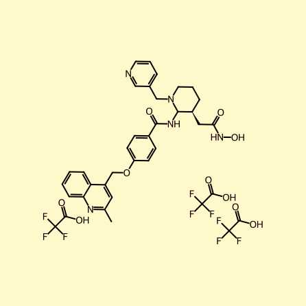 Cc1cc(COc2ccc(C(=O)NC3[C@H](CC(=O)NO)CCCN3Cc3cccnc3)cc2)c2ccccc2n1.O=C(O)C(F)(F)F.O=C(O)C(F)(F)F.O=C(O)C(F)(F)F